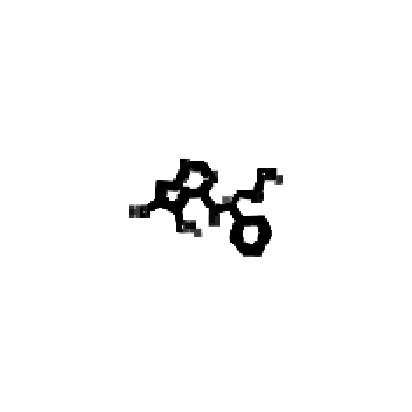 COC[C@@H](Nc1ncnn2cc(O)c(C)c12)c1ccccc1